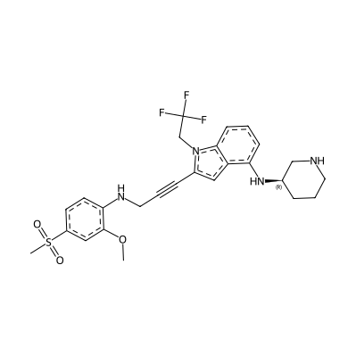 COc1cc(S(C)(=O)=O)ccc1NCC#Cc1cc2c(N[C@@H]3CCCNC3)cccc2n1CC(F)(F)F